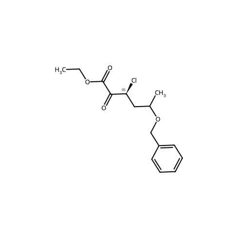 CCOC(=O)C(=O)[C@@H](Cl)CC(C)OCc1ccccc1